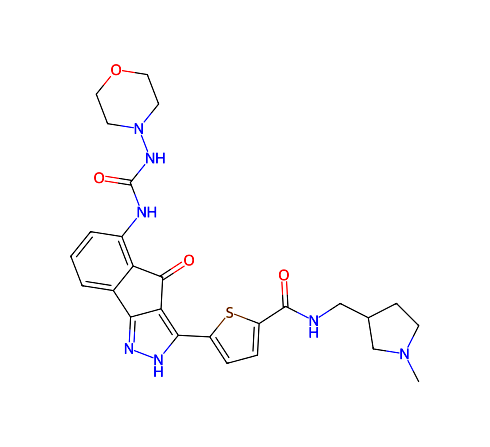 CN1CCC(CNC(=O)c2ccc(-c3[nH]nc4c3C(=O)c3c(NC(=O)NN5CCOCC5)cccc3-4)s2)C1